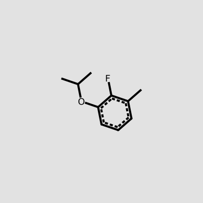 Cc1cccc(OC(C)C)c1F